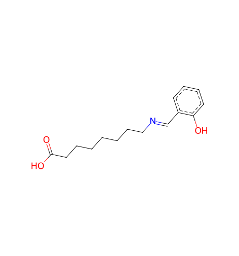 O=C(O)CCCCCCCN=Cc1ccccc1O